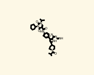 CC(C)C(=O)N1CCC(c2cc(-c3ccc(NC(=O)c4cn(C(C)C)c(=O)n(C5CCCCC5)c4=O)cc3)c(/C(N)=N\C=N)[nH]2)CC1